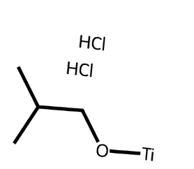 CC(C)C[O][Ti].Cl.Cl